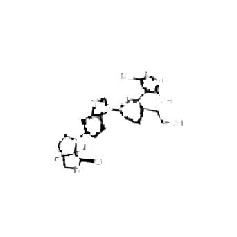 Cc1[nH]nc(C#N)c1-c1nc(-n2cnc3cc(N4CC[C@H]5CNC(=O)[C@H]54)ccc32)ccc1CCO